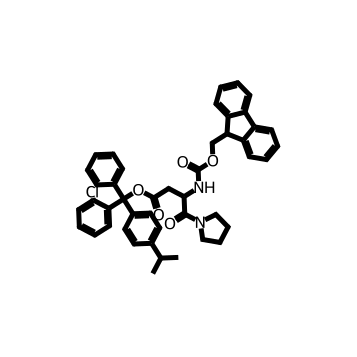 CC(C)c1ccc(C(OC(=O)CC(NC(=O)OCC2c3ccccc3-c3ccccc32)C(=O)N2CCCC2)(c2ccccc2)c2ccccc2Cl)cc1